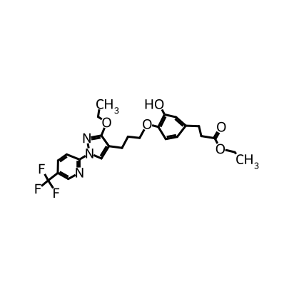 CCOC(=O)CCc1ccc(OCCCc2cn(-c3ccc(C(F)(F)F)cn3)nc2OCC)c(O)c1